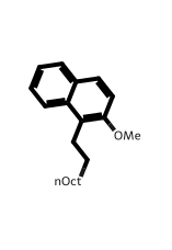 CCCCCCCCCCc1c(OC)ccc2ccccc12